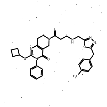 O=C(CCNCc1nnc(Cc2ccc(C(F)(F)F)cc2)o1)N1CCc2nc(SC3CCC3)n(-c3ccccc3)c(=O)c2C1